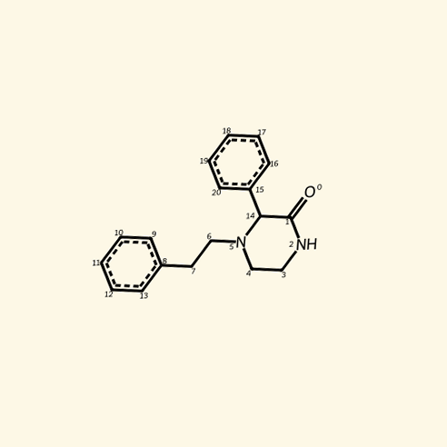 O=C1NCCN(CCc2ccccc2)C1c1ccccc1